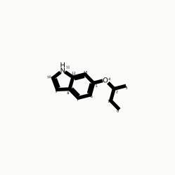 CCC(C)Oc1ccc2cc[nH]c2c1